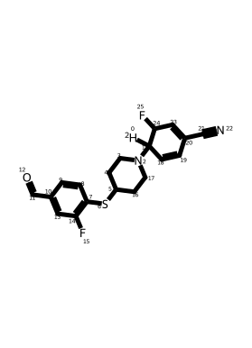 [2H]C1(N2CCC(Sc3ccc(C=O)cc3F)CC2)C=CC(C#N)=CC1F